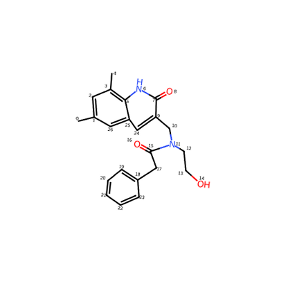 Cc1cc(C)c2[nH]c(=O)c(CN(CCO)C(=O)Cc3ccccc3)cc2c1